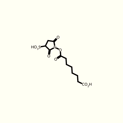 O=C(O)CCCCCCC(=O)ON1C(=O)CC(S(=O)(=O)O)C1=O